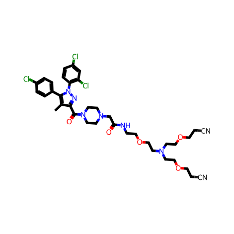 Cc1c(C(=O)N2CCN(CC(=O)NCCOCCN(CCOCCC#N)CCOCCC#N)CC2)nn(-c2ccc(Cl)cc2Cl)c1-c1ccc(Cl)cc1